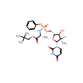 C[C@@H](N[P@@](=O)(OC[C@H]1O[C@@H](n2ccc(=O)[nH]c2=O)[C@](C)(Cl)[C@@H]1O)Oc1ccccc1)C(=O)OCC(C)(C)C